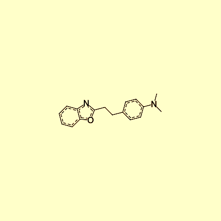 CN(C)c1ccc(CCc2nc3ccccc3o2)cc1